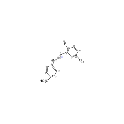 O=C(O)c1ccc(N/N=C/c2cc(C(F)(F)F)ccc2F)cc1